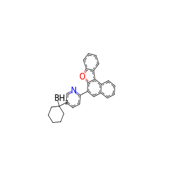 BC1(c2ccc(-c3cc4ccccc4c4c3oc3ccccc34)nc2)CCCCC1